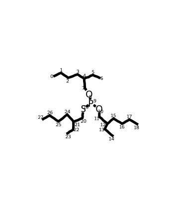 CCCCC(CC)COP(OCC(CC)CCCC)SCC(CC)CCCC